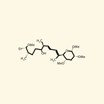 CC[C@H](OC)[C@@H](C)CC[C@H](O)[C@@H](C)/C=C/C=C(\C)[C@H]1O[C@H](OC)[C@H](OC)C[C@@H]1OC